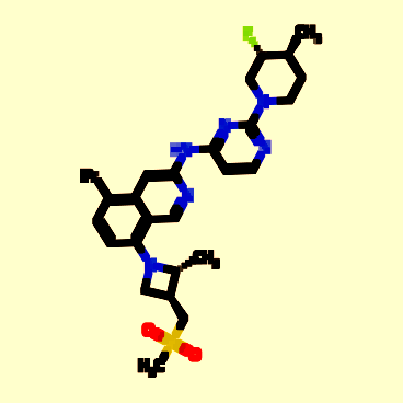 CC(C)c1ccc(N2C[C@H](CS(C)(=O)=O)[C@H]2C)c2cnc(Nc3ccnc(N4CC[C@H](C)[C@@H](F)C4)n3)cc12